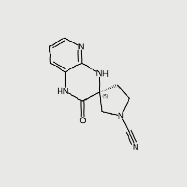 N#CN1CC[C@@]2(C1)Nc1ncccc1NC2=O